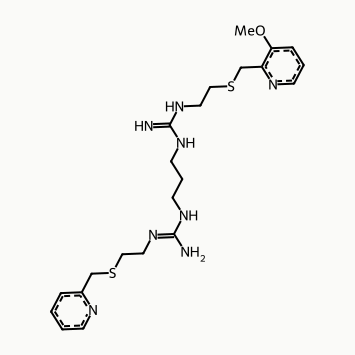 COc1cccnc1CSCCNC(=N)NCCCNC(N)=NCCSCc1ccccn1